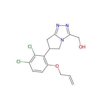 C=CCOc1ccc(Cl)c(Cl)c1C1Cc2nnc(CO)n2C1